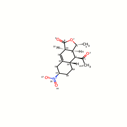 CC(=O)[C@@H]1[C@@H]2[C@@H](C)OC(=O)[C@@H]2C=C2C[C@H]([N+](=O)[O-])CC[C@H]21